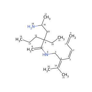 C=C/C=C\C(CNC(=C)C(CC)(CCC)CC(C)N)=C(C)C